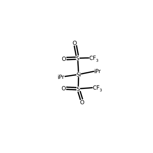 CC(C)[Si](C(C)C)(S(=O)(=O)C(F)(F)F)S(=O)(=O)C(F)(F)F